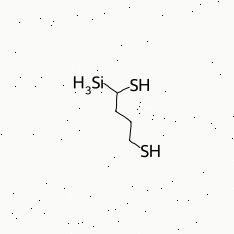 [SiH3]C(S)CCCS